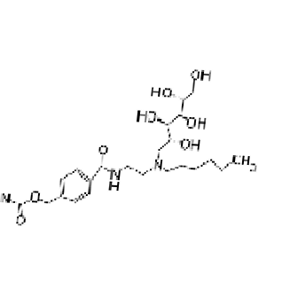 CCCCCCN(CCNC(=O)c1ccc(COC(N)=O)cc1)C[C@@H](O)[C@@H](O)[C@H](O)[C@H](O)CO